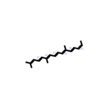 C\C=C/C=C/C(C)=C/C=C/C=C(C)/C=C/C=C(C)C